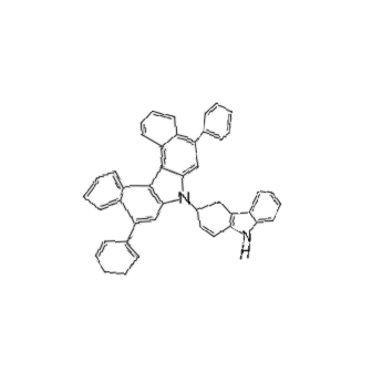 C1=CC(c2cc3c(c4ccccc24)c2c4ccccc4c(-c4ccccc4)cc2n3C2C=Cc3[nH]c4ccccc4c3C2)=CCC1